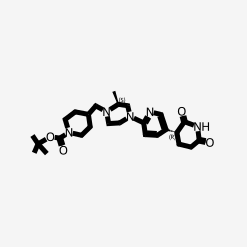 C[C@H]1CN(c2ccc([C@H]3CCC(=O)NC3=O)cn2)CCN1CC1CCN(C(=O)OC(C)(C)C)CC1